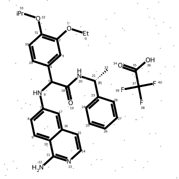 CCOc1cc(C(Nc2ccc3c(N)nccc3c2)C(=O)N[C@H](C)c2ccccc2)ccc1OC(C)C.O=C(O)C(F)(F)F